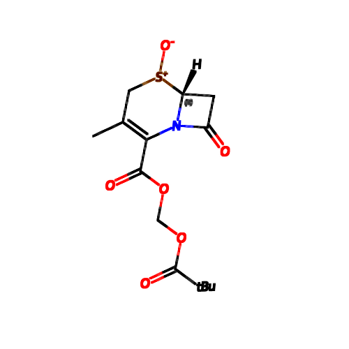 CC1=C(C(=O)OCOC(=O)C(C)(C)C)N2C(=O)C[C@H]2[S+]([O-])C1